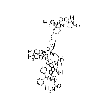 Cn1c(=O)n(C2CCC(=O)NC2=O)c2ccc(CC3CCN(CC(=O)N4CC[C@H]5CC[C@@H](C(=O)NC(CCC(N)=O)C(=O)NC(c6ccccc6)c6ccccc6)N5C(=O)[C@@H](NC(=O)OC(C)(C)C)C4)CC3)cc21